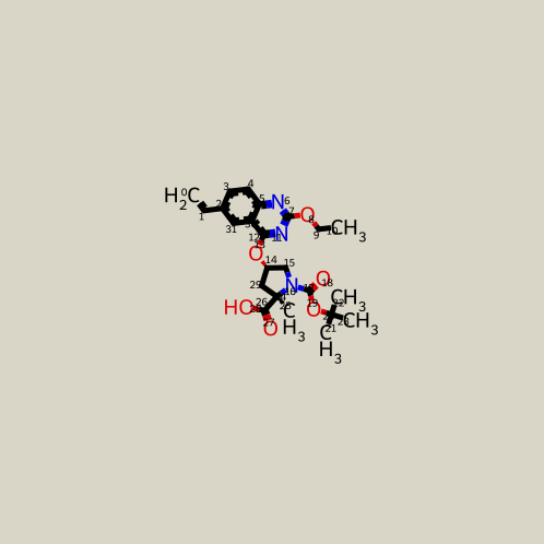 C=Cc1ccc2nc(OCC)nc(O[C@H]3CN(C(=O)OC(C)(C)C)[C@](C)(C(=O)O)C3)c2c1